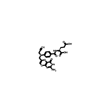 C#CCN(CC1=COc2nc(N)[nH]c(=O)c2O1)c1ccc(C(=O)N[C@@H](CCC(=O)O)C(=O)O)cc1